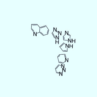 c1c[nH]cn1.c1c[nH]nn1.c1cc[nH]c1.c1ccc2ncccc2c1.c1ccncc1.c1cnnnc1